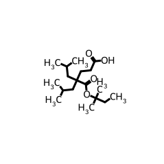 CCC(C)(C)OC(=O)C(CCC(=O)O)(CC(C)C)CC(C)C